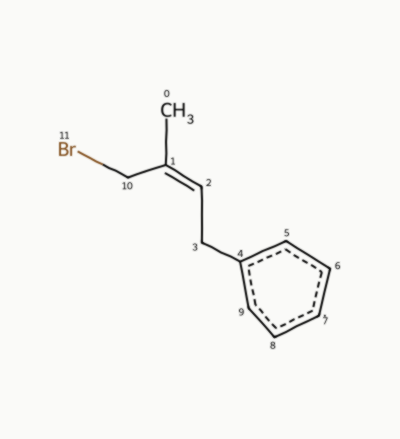 CC(=CCc1cc[c]cc1)CBr